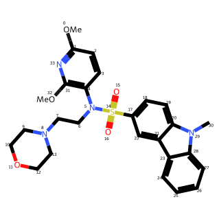 COc1ccc(N(CCN2CCOCC2)S(=O)(=O)c2ccc3c(c2)c2ccccc2n3C)c(OC)n1